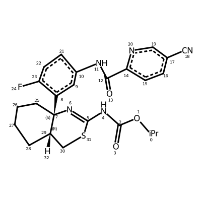 CC(C)OC(=O)NC1=N[C@@]2(c3cc(NC(=O)c4ccc(C#N)cn4)ccc3F)CCCC[C@H]2CS1